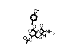 COc1ccc(COC(=O)C2=C(C(C)OC(C)=O)CS[C@H]3[C@H](N)C(=O)N23)cc1